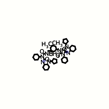 CC1(C)CC(NC(=O)N(/C(=N/C2CCCCC2)ON=C2CCCC2)C2CCCCC2)CC(C)(CNC(=O)N(/C(=N/C2CCCCC2)ON=C2CCCC2)C2CCCCC2)C1